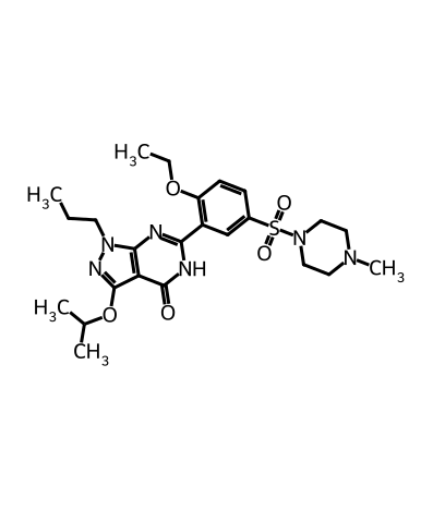 CCCn1nc(OC(C)C)c2c(=O)[nH]c(-c3cc(S(=O)(=O)N4CCN(C)CC4)ccc3OCC)nc21